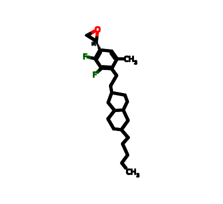 CCCCCC1CCC2CC(CCc3c(C)cc([C@@H]4CO4)c(F)c3F)CCC2C1